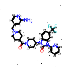 Nc1cc(CN2CCC(C(=O)N3CCC(n4c(=O)n(-c5ccccn5)c5cc(C(F)(F)F)ccc54)CC3)CC2)ccn1